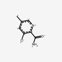 Cc1cnc(C(N)=O)c(Cl)c1